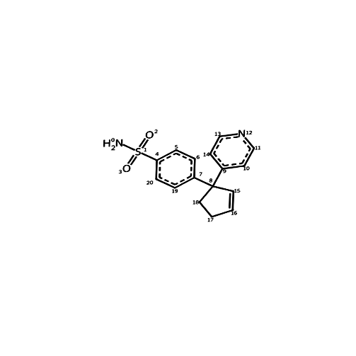 NS(=O)(=O)c1ccc(C2(c3ccncc3)C=CCC2)cc1